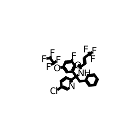 O=C(C=CC(F)(F)F)NC(Cc1ccccc1)(c1cc(F)cc(OC(F)(F)C(F)F)c1)c1ccc(Cl)cn1